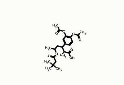 CC(=O)Oc1ccc(C(CC(C)OC(=O)CC(C)(C)C)[C@H](N)C(=O)O)cc1OC(C)=O